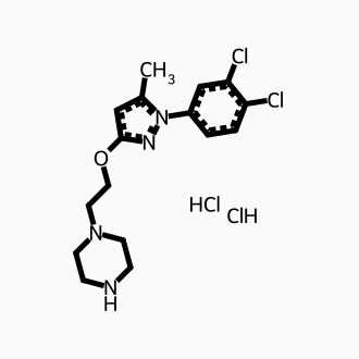 Cc1cc(OCCN2CCNCC2)nn1-c1ccc(Cl)c(Cl)c1.Cl.Cl